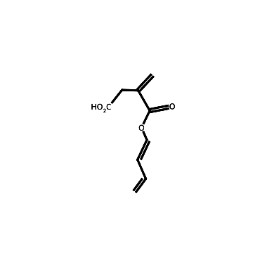 C=CC=COC(=O)C(=C)CC(=O)O